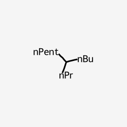 C[CH]CC(CCCC)CCCCC